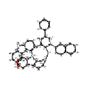 c1ccc(-c2nc(-c3ccc4ccccc4c3)c3c(n2)-c2ccc4oc5ccccc5c4c2-n2c4cc(ccc4c4cc5ccccc5cc42)C3)cc1